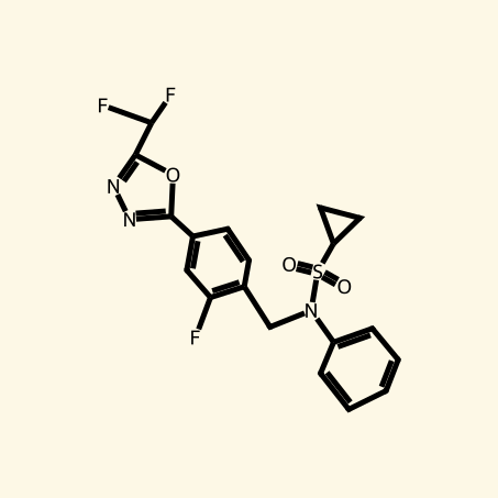 O=S(=O)(C1CC1)N(Cc1ccc(-c2nnc(C(F)F)o2)cc1F)c1ccccc1